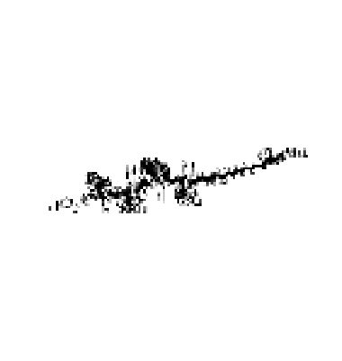 CC(C)(C)OC(=O)CCCCCCCCCCCCCN[C@@H](CCC(=O)N[C@@H](CCC(=O)N[C@@H](CCC(=O)N[C@@H](CCC(=O)O)C(=O)OC(C)(C)C)C(=O)OC(C)(C)C)C(=O)OC(C)(C)C)C(=O)OC(C)(C)C